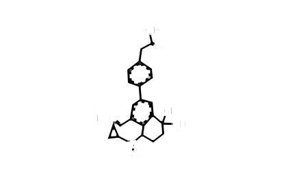 C=Cc1cc(-c2ccc(CC(=O)O)cc2)cc2c1C(N(C)C1CC1)CCC2(C)C